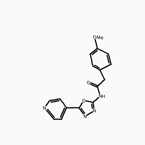 COc1ccc(CC(=O)Nc2nnc(-c3ccncc3)o2)cc1